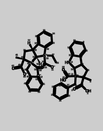 CC1(C(=O)O)CC2c3ccccc3NC2[N+]1(Cc1ccccc1)C(=O)O.CC[N+]1(C(=O)[O-])c2ccccc2[C@H]2C[C@@](C)(C(=O)[O-])[N+](Cc3ccccc3)(C(=O)[O-])[C@@H]21